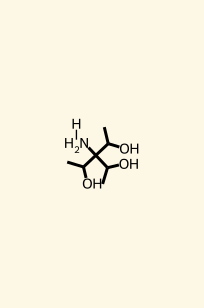 CC(O)C(N)(C(C)O)C(C)O.I